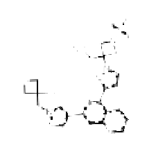 CS(=O)(=O)N1CC(CC#N)(n2ccc(-c3nc(-c4cnn(CC5(O)COC5)c4)cc4ncccc34)n2)C1